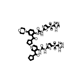 O=C(Nc1ncc(S(=O)(=O)c2nnn[nH]2)s1)Nc1ccc(N2CCOCC2)cc1C(=O)C1CCCC1.O=C(Nc1ncc(S(=O)(=O)c2nnn[nH]2)s1)Nc1ccncc1C(=O)C1CCCC1